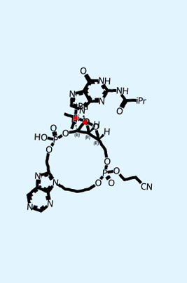 CC(C)C(=O)Nc1nc2c(ncn2[C@@H]2O[C@@H]3COP(=O)(OCCC#N)OCCCn4c(nc5cncnc54)COP(=O)(O)O[C@@H]2[C@@H]3O[Si](C)(C)C(C)(C)C)c(=O)[nH]1